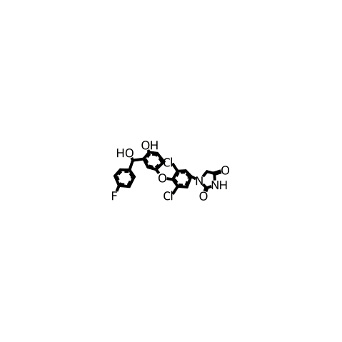 O=C1CN(c2cc(Cl)c(Oc3ccc(O)c(C(O)c4ccc(F)cc4)c3)c(Cl)c2)C(=O)N1